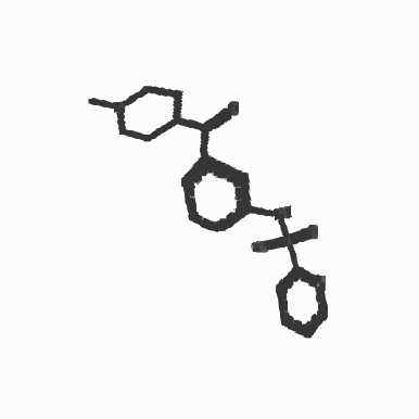 CN1CCC(C(=O)c2cccc(NS(=O)(=O)c3ccccn3)c2)CC1